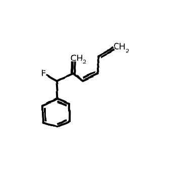 C=C/C=C\C(=C)C(F)c1ccccc1